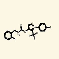 O=C(NCc1ccccc1F)Oc1cnn(-c2ccc(F)cc2)c1C(F)(F)F